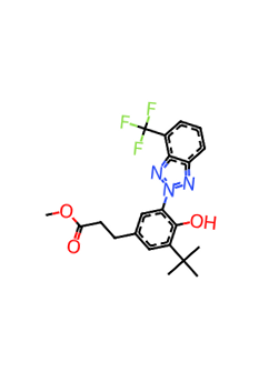 COC(=O)CCc1cc(-n2nc3cccc(C(F)(F)F)c3n2)c(O)c(C(C)(C)C)c1